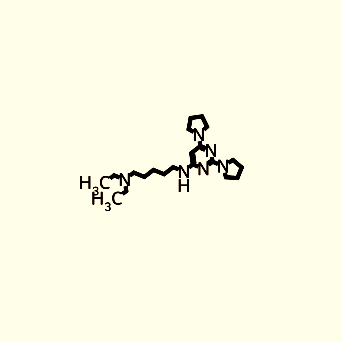 CCN(CC)CCCCCNc1cc(N2CCCC2)nc(N2CCCC2)n1